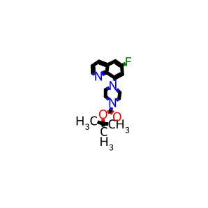 CC(C)(C)OC(=O)N1CCN(c2cc(F)cc3cccnc23)CC1